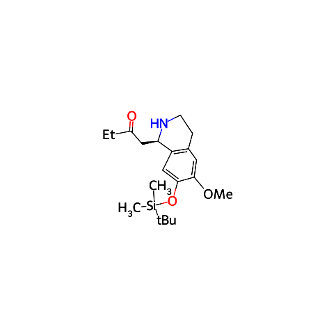 CCC(=O)C[C@H]1NCCc2cc(OC)c(O[Si](C)(C)C(C)(C)C)cc21